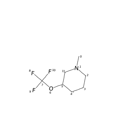 CN1CC[CH]C(OC(F)(F)F)C1